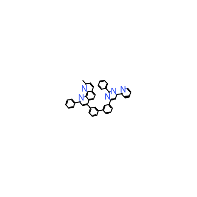 Cc1ccc2ccc3c(-c4cccc(-c5cccc(-c6cc(-c7c#cccn7)nc(-c7ccccc7)n6)c5)c4)cc(-c4ccccc4)nc3c2n1